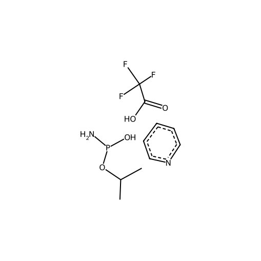 CC(C)OP(N)O.O=C(O)C(F)(F)F.c1ccncc1